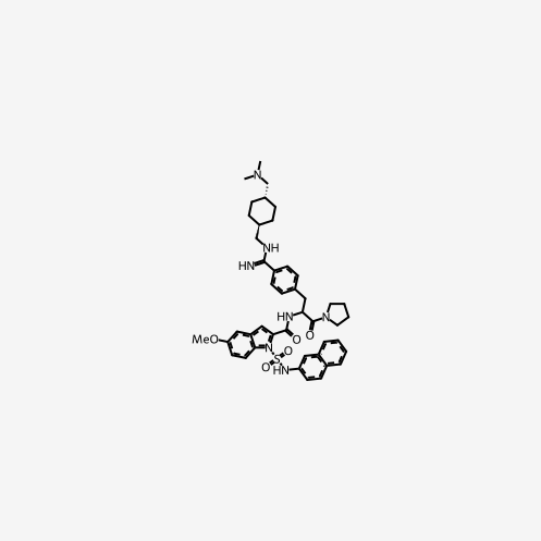 COc1ccc2c(c1)cc(C(=O)NC(Cc1ccc(C(=N)NC[C@H]3CC[C@H](CN(C)C)CC3)cc1)C(=O)N1CCCC1)n2S(=O)(=O)Nc1ccc2ccccc2c1